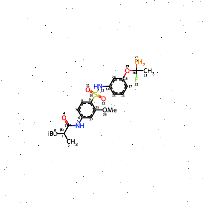 CCC(C)[C@H](C)C(=O)Nc1ccc(S(=O)(=O)Nc2cccc(OC(C)(F)P)c2)c(OC)c1